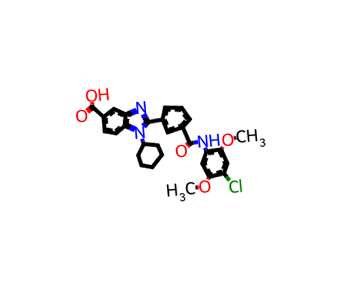 COc1cc(NC(=O)c2cccc(-c3nc4cc(C(=O)O)ccc4n3C3CCCCC3)c2)c(OC)cc1Cl